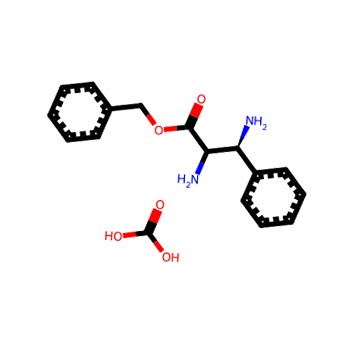 NC(C(=O)OCc1ccccc1)[C@@H](N)c1ccccc1.O=C(O)O